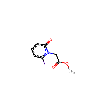 COC(=O)Cn1c(I)cccc1=O